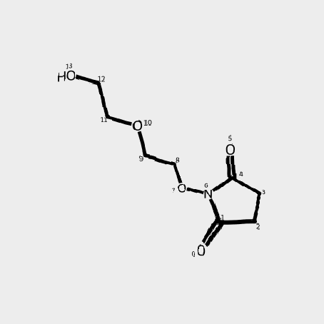 O=C1CCC(=O)N1OCCOCCO